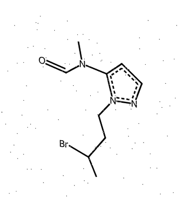 CC(Br)CCn1nccc1N(C)C=O